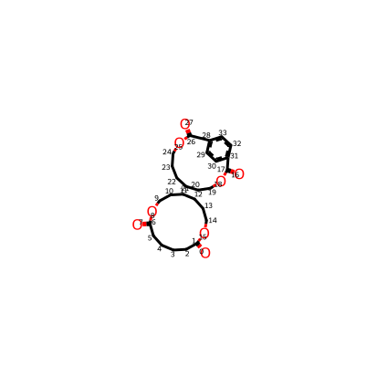 O=C1CCCCC(=O)OCCCCCCO1.O=C1OCCCCCCOC(=O)c2ccc1cc2